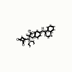 CCN(CC)N(c1cc(=O)c1=O)C(C)(Cc1ccc(Nc2ncnc3ccccc23)cc1)C(=O)O